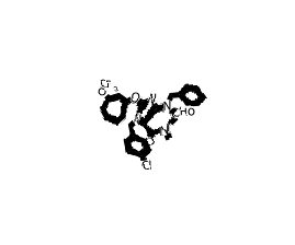 CN(C)C(=O)c1c(N(C=O)Cc2ccccc2)nc(OC2=CC=CCC(OC(F)(F)F)=C2)n1Cc1ccc(Cl)cc1